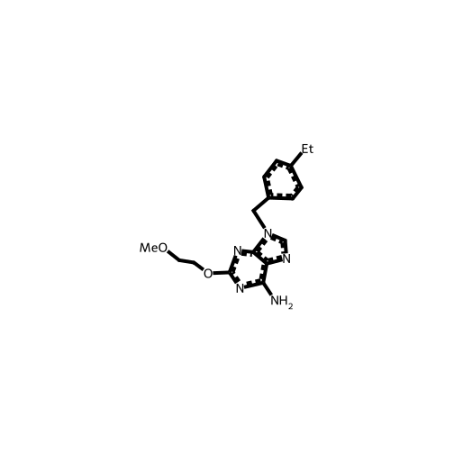 CCc1ccc(Cn2cnc3c(N)nc(OCCOC)nc32)cc1